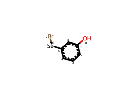 Oc1cccc([Se]Br)c1